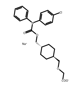 O=C([O-])COC[C@H]1CC[C@H](COC(=O)N(c2ccccc2)c2ccc(Cl)cc2)CC1.[Na+]